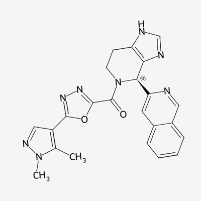 Cc1c(-c2nnc(C(=O)N3CCc4[nH]cnc4[C@H]3c3cc4ccccc4cn3)o2)cnn1C